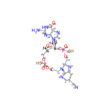 N#Cc1cnc2c(c1)nc1n2CCOP(=O)(S)OC[C@@H]2C[C@@H](OP(=O)(S)OC1)[C@H](n1cnc3c(=O)[nH]c(N)nc31)O2